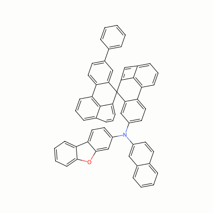 c1ccc(-c2ccc3c(c2)C2(c4cc(N(c5ccc6ccccc6c5)c5ccc6c(c5)oc5ccccc56)ccc4-c4cccc5cccc2c45)c2cccc4cccc-3c24)cc1